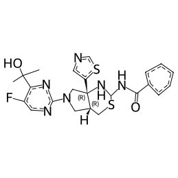 CC(C)(O)c1nc(N2C[C@H]3CSC(NC(=O)c4ccccc4)N[C@@]3(c3cncs3)C2)ncc1F